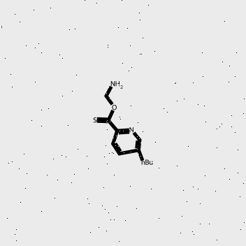 CCCCc1ccc(C(=S)OCN)nc1